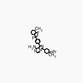 CCCC1(C)CCC(c2nc(-c3ccc(C(F)(F)C4=C(F)C(C)CCC4)cc3)c3c(N)nccn23)CC1